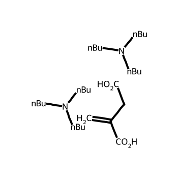 C=C(CC(=O)O)C(=O)O.CCCCN(CCCC)CCCC.CCCCN(CCCC)CCCC